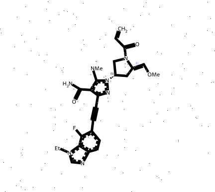 C=CC(=O)N1C[C@@H](n2nc(C#Cc3ccc4ncn(CC)c4c3F)c(C(N)=O)c2NC)C/C1=C\OC